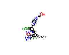 COc1cc(-c2cc3cc(CCN4CCN(CCO)CC4)ccc3[nH]2)c2c(c1Cl)CNC2=O.Cl.Cl